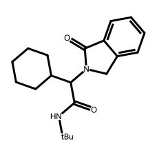 CC(C)(C)NC(=O)C(C1CCCCC1)N1Cc2ccccc2C1=O